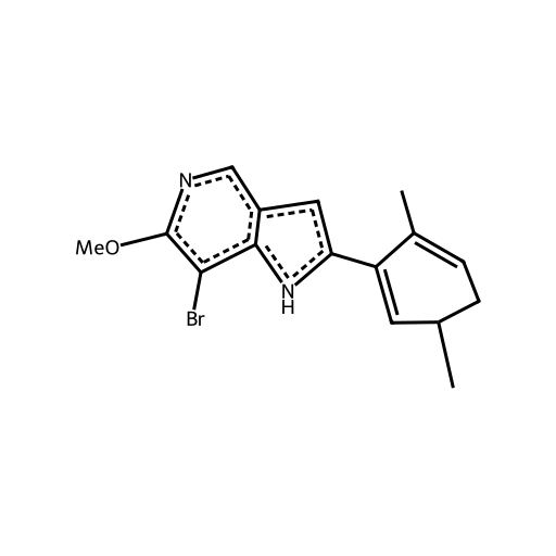 COc1ncc2cc(C3=CC(C)CC=C3C)[nH]c2c1Br